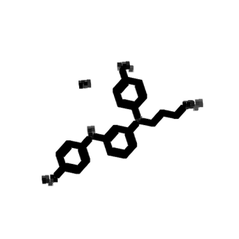 Nc1ccc(Nc2cccc(N(CCCS(=O)(=O)O)c3ccc(N)cc3)c2)cc1.[KH]